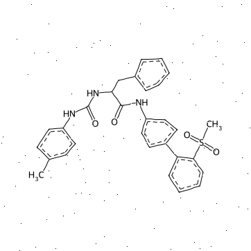 Cc1ccc(NC(=O)NC(Cc2ccccc2)C(=O)Nc2ccc(-c3ccccc3S(C)(=O)=O)cc2)cc1